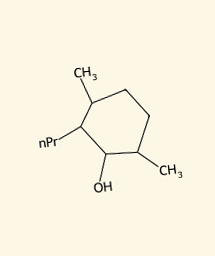 CCCC1C(C)CCC(C)C1O